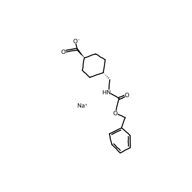 O=C(NC[C@H]1CC[C@H](C(=O)[O-])CC1)OCc1ccccc1.[Na+]